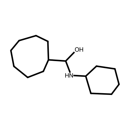 OC(NC1CCCCC1)C1CCCCCCC1